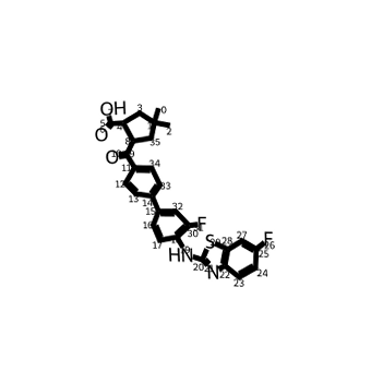 CC1(C)CC(C(=O)O)C(C(=O)c2ccc(-c3ccc(Nc4nc5ccc(F)cc5s4)c(F)c3)cc2)C1